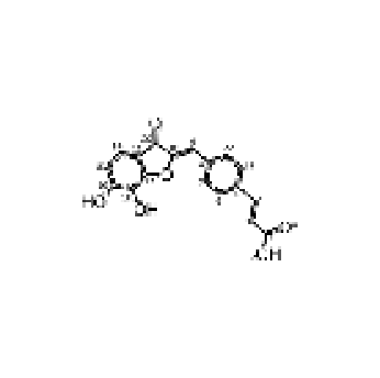 O=C(O)C=Cc1ccc(C=C2Oc3c(ccc(O)c3O)C2=O)cc1